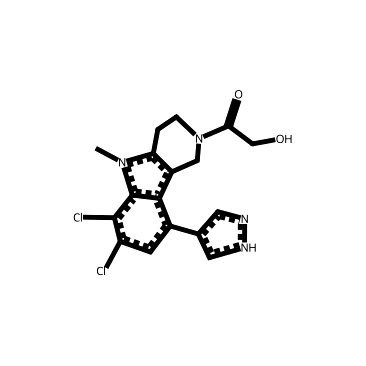 Cn1c2c(c3c(-c4cn[nH]c4)cc(Cl)c(Cl)c31)CN(C(=O)CO)CC2